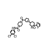 O=C(Nc1ccc(Cl)c(Cl)c1)N1CCN(C(=O)C2CCN(C3CCC(O)(c4nccs4)CC3)C2)CC1